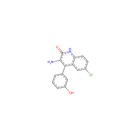 Nc1c(-c2cccc(O)c2)c2cc(Cl)ccc2[nH]c1=O